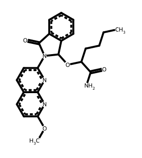 CCCCC(OC1c2ccccc2C(=O)N1c1ccc2ccc(OC)nc2n1)C(N)=O